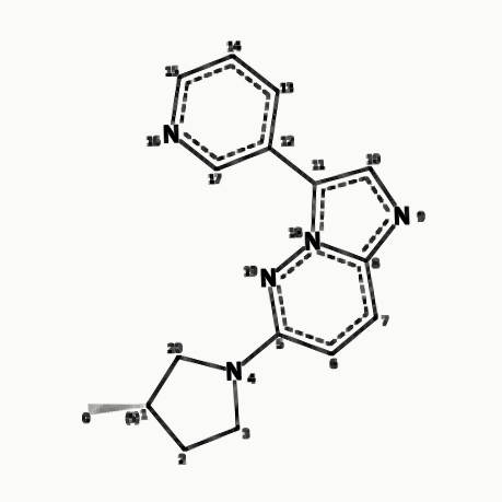 C[C@H]1CCN(c2ccc3ncc(-c4cccnc4)n3n2)C1